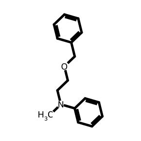 CN(CCOCc1ccccc1)c1ccccc1